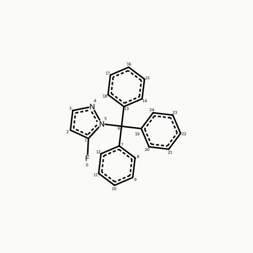 Fc1ccnn1C(c1ccccc1)(c1ccccc1)c1ccccc1